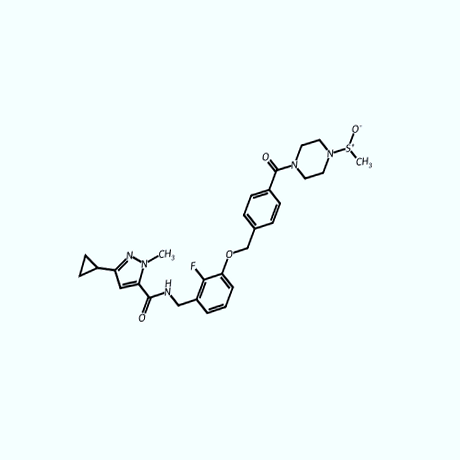 Cn1nc(C2CC2)cc1C(=O)NCc1cccc(OCc2ccc(C(=O)N3CCN([S+](C)[O-])CC3)cc2)c1F